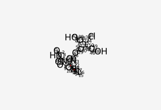 O=C1CCC(N2C(=O)c3ccc(N4CC5CCC(C4)N5CC4CCN(CCOc5ccc(C(=C(CCCl)c6ccc(O)cc6)c6ccc(O)cc6)cc5)CC4)cc3C2=O)C(=O)N1